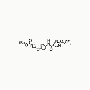 CC(C)(C)OC(=O)N1CC(Oc2ccc(NC(=O)c3cnc(OCC(F)(F)F)nc3)cc2)C1